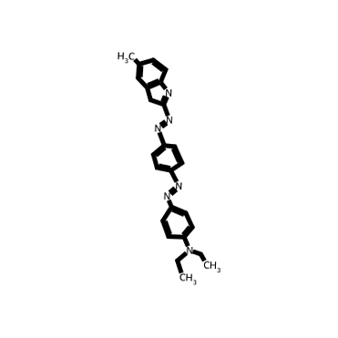 CCN(CC)c1ccc(N=Nc2ccc(N=NC3=Nc4ccc(C)cc4C3)cc2)cc1